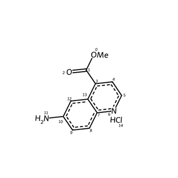 COC(=O)c1ccnc2ccc(N)cc12.Cl